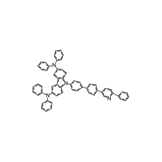 c1ccc(-c2ccc(-c3ccc(-c4ccc(-n5c6ccc(N(c7ccccc7)c7ccccc7)cc6c6cc(N(c7ccccc7)c7ccccc7)ccc65)cc4)cc3)cn2)cc1